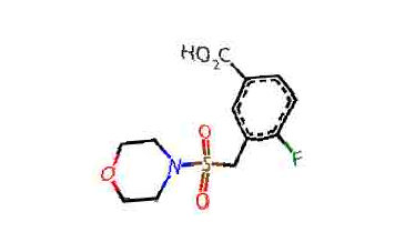 O=C(O)c1ccc(F)c(CS(=O)(=O)N2CCOCC2)c1